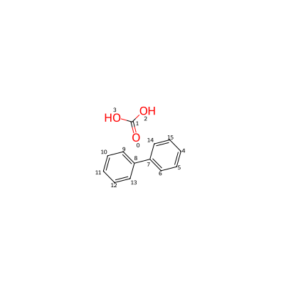 O=C(O)O.c1ccc(-c2ccccc2)cc1